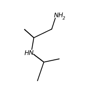 CC(C)NC(C)CN